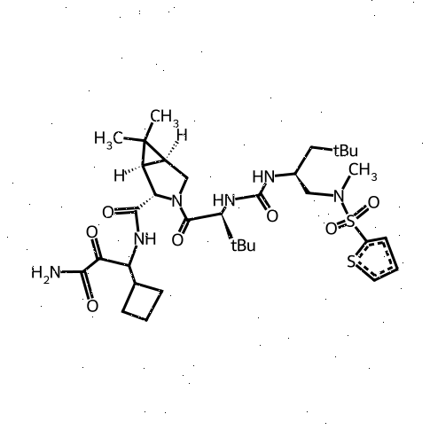 CN(C[C@H](CC(C)(C)C)NC(=O)N[C@H](C(=O)N1C[C@H]2[C@@H]([C@H]1C(=O)NC(C(=O)C(N)=O)C1CCC1)C2(C)C)C(C)(C)C)S(=O)(=O)c1cccs1